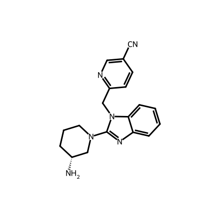 N#Cc1ccc(Cn2c(N3CCC[C@@H](N)C3)nc3ccccc32)nc1